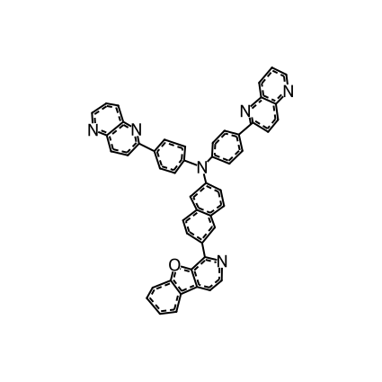 c1cnc2ccc(-c3ccc(N(c4ccc(-c5ccc6ncccc6n5)cc4)c4ccc5cc(-c6nccc7c6oc6ccccc67)ccc5c4)cc3)nc2c1